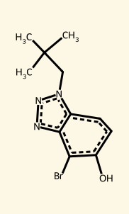 CC(C)(C)Cn1nnc2c(Br)c(O)ccc21